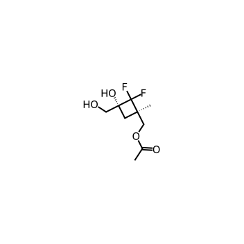 CC(=O)OC[C@@]1(C)C[C@@](O)(CO)C1(F)F